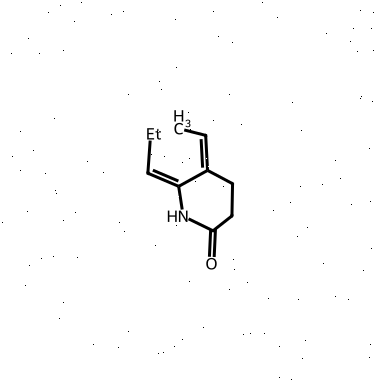 C/C=C1/CCC(=O)N/C1=C/CC